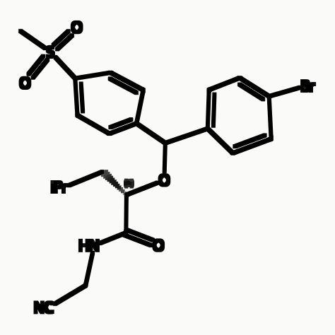 CC(C)C[C@H](OC(c1ccc(Br)cc1)c1ccc(S(C)(=O)=O)cc1)C(=O)NCC#N